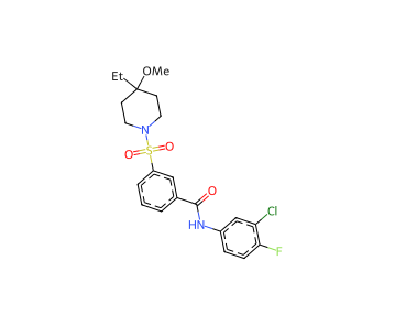 CCC1(OC)CCN(S(=O)(=O)c2cccc(C(=O)Nc3ccc(F)c(Cl)c3)c2)CC1